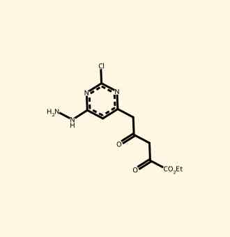 CCOC(=O)C(=O)CC(=O)Cc1cc(NN)nc(Cl)n1